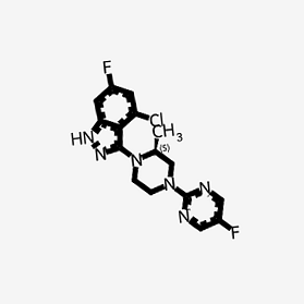 C[C@H]1CN(c2ncc(F)cn2)CCN1c1n[nH]c2cc(F)cc(Cl)c12